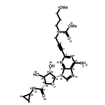 COCCCN(CC#Cc1nc(N)c2ncn([C@@H]3O[C@H](C(=O)NC4CC4)C(O)[C@@H]3O)c2n1)C(=O)OC